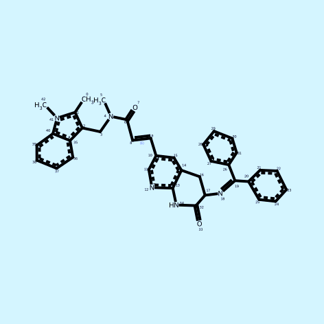 Cc1c(CN(C)C(=O)/C=C/c2cnc3c(c2)CC(N=C(c2ccccc2)c2ccccc2)C(=O)N3)c2ccccc2n1C